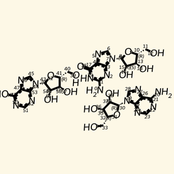 Nc1nc2c(ncn2[C@@H]2O[C@H](CO)[C@@H](O)[C@H]2O)c(=O)[nH]1.Nc1ncnc2c1ncn2[C@@H]1O[C@H](CO)[C@@H](O)[C@H]1O.OC[C@H]1O[C@@H](n2cnc3c(O)ncnc32)[C@H](O)[C@@H]1O